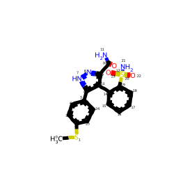 CSc1ccc(-c2[nH]nc(C(N)=O)c2-c2ccccc2S(N)(=O)=O)cc1